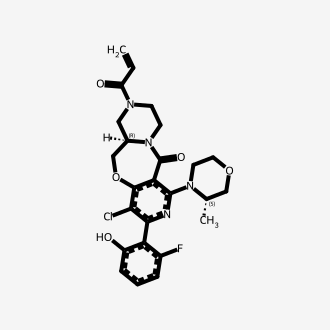 C=CC(=O)N1CCN2C(=O)c3c(N4CCOC[C@@H]4C)nc(-c4c(O)cccc4F)c(Cl)c3OC[C@H]2C1